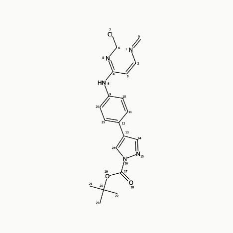 C=N/C=C\C(=N/CCl)Nc1ccc(-c2cnn(C(=O)OC(C)(C)C)c2)cc1